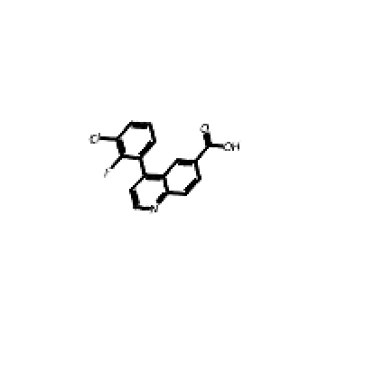 O=C(O)c1ccc2nccc(-c3cccc(Cl)c3F)c2c1